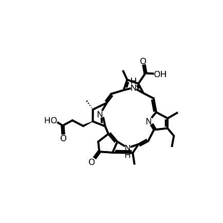 CCC1=C(C)c2cc3[nH]c(cc4nc(c5c6[nH]c(cc1n2)c(C)c6C(=O)C5)[C@@H](CCC(=O)O)[C@@H]4C)c(C)c3C(=O)O